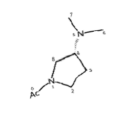 CC(=O)N1CC[C@@H](N(C)C)C1